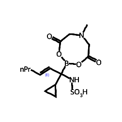 CCC/C=C/C(NS(=O)(=O)O)(B1OC(=O)CN(C)CC(=O)O1)C1CC1